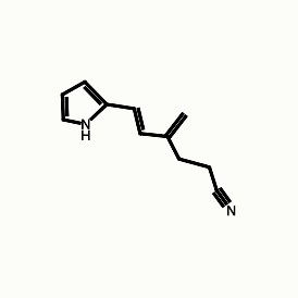 C=C(/C=C/c1ccc[nH]1)CCC#N